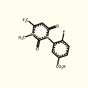 Cn1c(C(F)(F)F)cc(=O)n(-c2cc(C(=O)O)ccc2F)c1=O